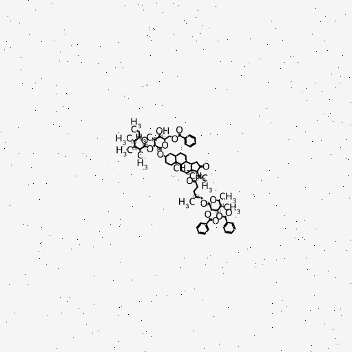 CCC1O[C@@H](OC2[C@H](OC3CCC4(C)C(CCC5C4CCC4(C)C5CC(=O)C4[C@H](C)C(=O)CC[C@H](C)CO[C@@H]4OC(C)[C@H](C)[C@H](OC(=O)c5ccccc5)C4OC(=O)c4ccccc4)C3)OC(COC(=O)c3ccccc3)[C@H](O)[C@@H]2C)C(C)[C@@H](C)[C@@H]1C